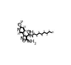 CCCCCCCCNC(=O)c1c(-c2ccc(OC)nc2)noc1N